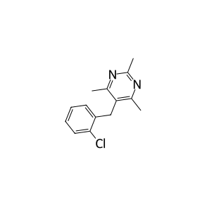 Cc1nc(C)c(Cc2ccccc2Cl)c(C)n1